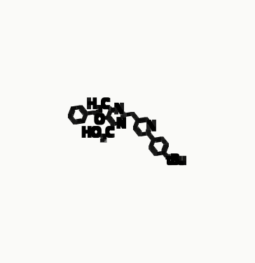 Cc1nc(Cc2ccc(-c3ccc(C(C)(C)C)cc3)nc2)nc(C(=O)O)c1OCc1ccccc1